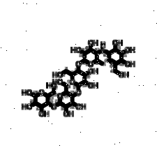 CC1OC(OC2C(CO)OC(OC3C(CO)OC(OC4C(CO)OC(O)C(O)C4O)C(O)C3O)C(O)C2O)C(O)C(O)C1NC1C=C(CO)C(O)C(O)C1O